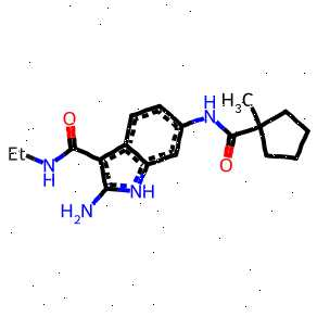 CCNC(=O)c1c(N)[nH]c2cc(NC(=O)C3(C)CCCC3)ccc12